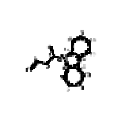 C=CCC(C)n1c2ccccc2c2ccccc21